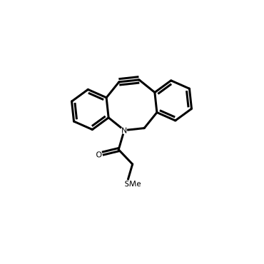 CSCC(=O)N1Cc2ccccc2C#Cc2ccccc21